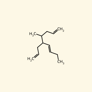 C=CCC(C)C(C=CCC)CC=C